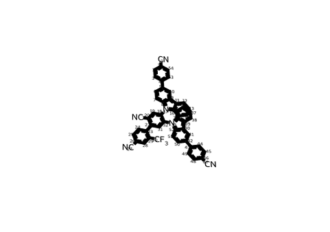 N#Cc1ccc(-c2ccc3c(c2)c2ccccc2n3-c2cc(C#N)c(-c3ccc(C#N)cc3C(F)(F)F)cc2-n2c3ccccc3c3cc(-c4ccc(C#N)cc4)ccc32)cc1